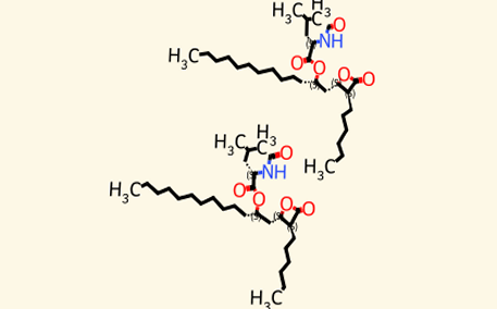 CCCCCCCCCCC[C@@H](C[C@@H]1OC(=O)[C@H]1CCCCCC)OC(=O)[C@H](CC(C)C)NC=O.CCCCCCCCCCC[C@@H](C[C@@H]1OC(=O)[C@H]1CCCCCC)OC(=O)[C@H](CC(C)C)NC=O